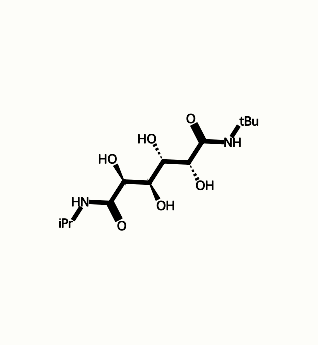 CC(C)NC(=O)[C@@H](O)[C@H](O)[C@H](O)[C@@H](O)C(=O)NC(C)(C)C